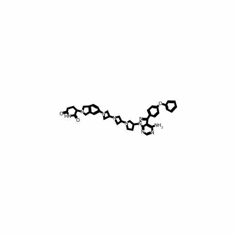 Nc1ncnc2c1c(-c1ccc(Oc3ccccc3)cc1)nn2C1CCN(C2CN(C3CN(c4ccc5c(c4)CN(C4CCC(=O)NC4=O)C5)C3)C2)C1